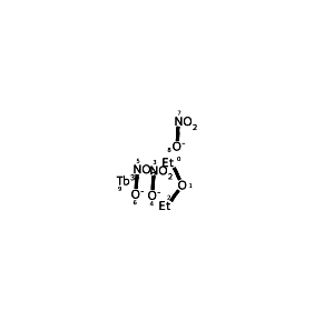 CCOCC.O=[N+]([O-])[O-].O=[N+]([O-])[O-].O=[N+]([O-])[O-].[Tb+3]